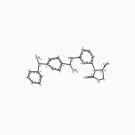 CC(Nc1nccc(N2C(=O)OC[C@@H]2C(C)C)n1)c1ccc(N(C)c2ccccc2)cc1